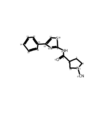 N#CN1CCC(C(=O)Nc2nc(-c3ccccc3)cs2)C1